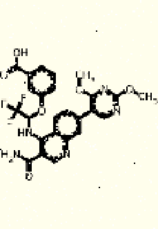 COc1ncc(-c2ccc3c(NC(Oc4cccc(C(=O)O)c4)C(F)(F)F)c(C(N)=O)cnc3c2)c(OC)n1